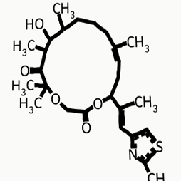 C/C1=C/CC(/C(C)=C/c2csc(C)n2)OC(=O)COC(C)(C)C(=O)C(C)C(O)C(C)CCC1